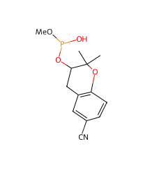 COP(O)OC1Cc2cc(C#N)ccc2OC1(C)C